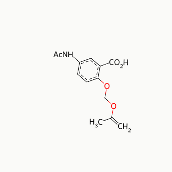 C=C(C)OCOc1ccc(NC(C)=O)cc1C(=O)O